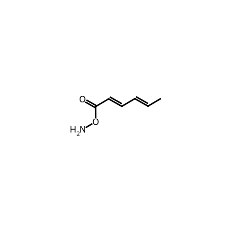 C/C=C/C=C/C(=O)ON